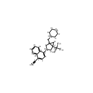 N#Cc1ccc(N2CC3(CN4CCOCC4)CC3(C(F)(F)F)C2)c2cccnc12